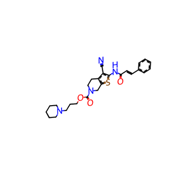 N#Cc1c(NC(=O)C=Cc2ccccc2)sc2c1CCN(C(=O)OCCCN1CCCCC1)C2